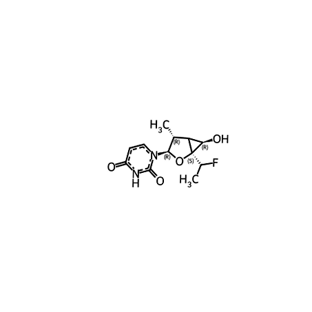 CC(F)[C@]12O[C@@H](n3ccc(=O)[nH]c3=O)[C@H](C)C1[C@H]2O